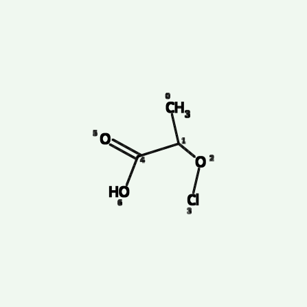 CC(OCl)C(=O)O